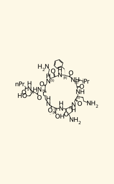 CCCC(=O)N[C@H](CO)C(=O)N[C@H]1CCNC(=O)[C@H]([C@@H](C)O)NC(=O)[C@H](CCN)NC(=O)[C@H](CCN)NC(=O)[C@H](CC(C)C)NC(=O)[C@@H](Cc2ccccc2)NC(=O)[C@H](CCN)NC1=O